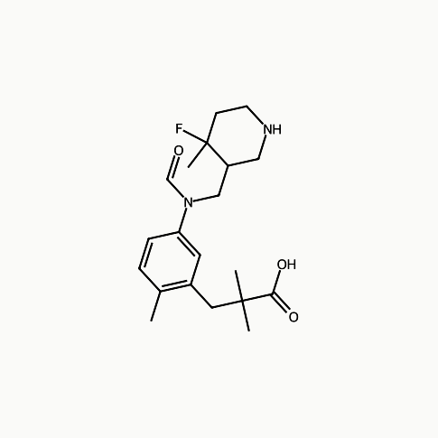 Cc1ccc(N(C=O)CC2CNCCC2(C)F)cc1CC(C)(C)C(=O)O